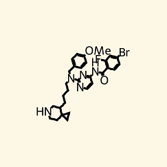 COc1ccc(CN(CCCCC2CNCCC23CC3)c2nccc(NC(=O)c3ccc(Br)cc3F)n2)cc1